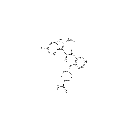 COC(=O)[C@H]1CC[C@H](Oc2ccncc2NC(=O)c2c(N)nn3cc(F)cnc23)CC1